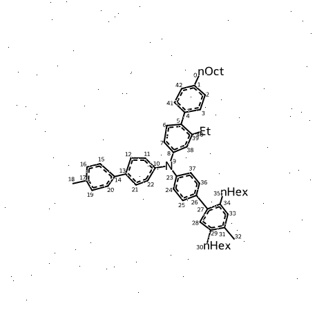 CCCCCCCCc1ccc(-c2ccc(N(c3ccc(-c4ccc(C)cc4)cc3)c3ccc(-c4cc(CCCCCC)c(C)cc4CCCCCC)cc3)cc2CC)cc1